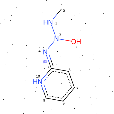 CNN(O)/N=c1\cccc[nH]1